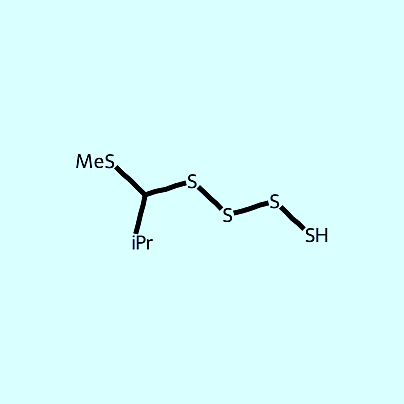 CSC(SSSS)C(C)C